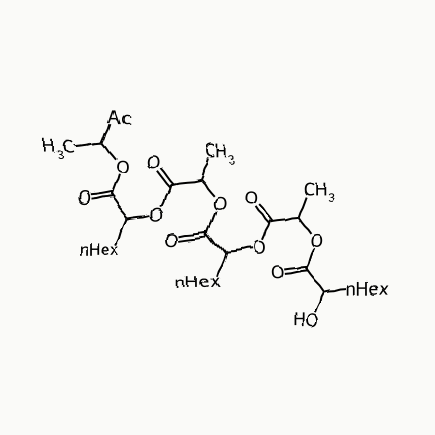 CCCCCCC(O)C(=O)OC(C)C(=O)OC(CCCCCC)C(=O)OC(C)C(=O)OC(CCCCCC)C(=O)OC(C)C(C)=O